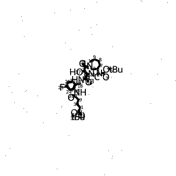 CN(C(=O)OC(C)(C)C)C1CCCCn2c1nc(C(=O)NCc1ccc(F)cc1NC(=O)CCCC(=O)OC(C)(C)C)c(O)c2=O